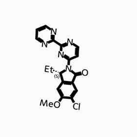 CC[C@H]1c2cc(OC)c(Cl)cc2C(=O)N1c1ccnc(-c2ncccn2)n1